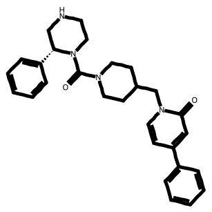 O=C(N1CCC(Cn2ccc(-c3ccccc3)cc2=O)CC1)N1CCNC[C@H]1c1ccccc1